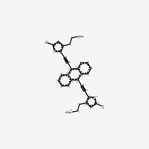 CCCCCCCCCCCCc1cc(Cl)sc1C#Cc1c2ccccc2c(C#Cc2sc(Cl)cc2CCCCCCCCCCCC)c2ccccc12